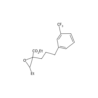 CCOC(=O)C1(CCCc2cccc(C(F)(F)F)c2)OC1CC